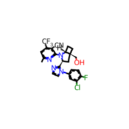 Cc1cc(C(F)(F)F)c(C#N)c(N2[C@H](c3nccn3-c3ccc(F)c(Cl)c3)C[C@@]3(CO)CC[C@@H]23)n1